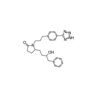 O=C1CCC(CCC(O)Cc2ccccc2)N1CCCc1ccc(-c2nn[nH]n2)cc1